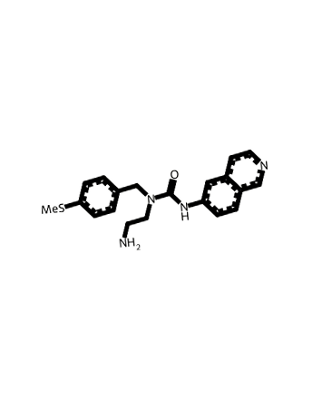 CSc1ccc(CN(CCN)C(=O)Nc2ccc3cnccc3c2)cc1